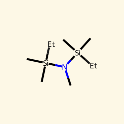 CC[Si](C)(C)N(C)[Si](C)(C)CC